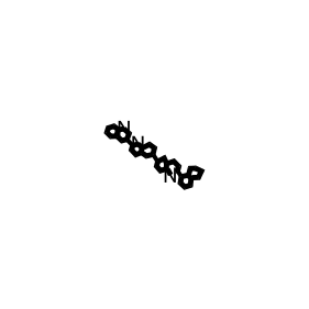 c1ccc2ncc(-c3ccc4cc(-c5ccc6nc(-c7cccc8ccccc78)ccc6c5)ccc4n3)cc2c1